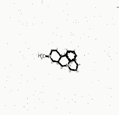 CN1CCC2c3cccc4c3N(CCC4)CC2C1